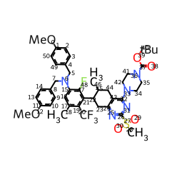 COc1ccc(CN(Cc2ccc(OC)cc2)c2cc(C)c(C(F)(F)F)c(C3Cc4nc(S(C)(=O)=O)nc(N5CCN(C(=O)OC(C)(C)C)CC5)c4CC3C)c2F)cc1